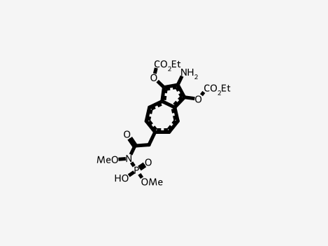 CCOC(=O)Oc1c2ccc(CC(=O)N(OC)P(=O)(O)OC)ccc-2c(OC(=O)OCC)c1N